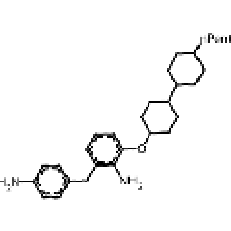 CCCCCC1CCC(C2CCC(Oc3cccc(Cc4ccc(N)cc4)c3N)CC2)CC1